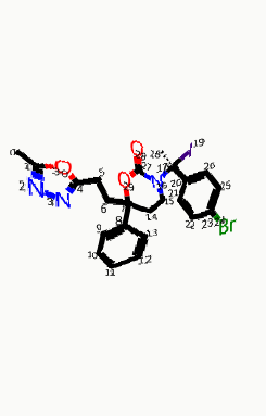 Cc1nnc(CCC2(c3ccccc3)CCN([C@@](C)(I)c3ccc(Br)cc3)C(=O)O2)o1